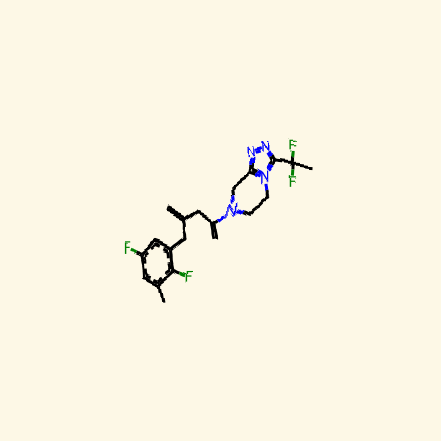 C=C(CC(=C)N1CCn2c(nnc2C(C)(F)F)C1)Cc1cc(F)cc(C)c1F